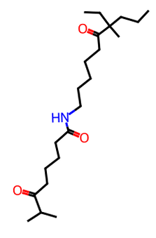 CCCC(C)(CC)C(=O)CCCCCNC(=O)CCCCC(=O)C(C)C